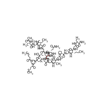 CCCC[C@H](NC(=O)CNC(=O)[C@@H]1CCCN1C(=O)CNC(=O)[C@H](C)NC(=O)CNC(=O)[C@H](CSCC(=O)N1CN(C(=O)CCSC)CN(C(=O)CCSC)C1)NC(=O)CNC(=O)[C@H](CCC(N)=O)NC(=O)CNC(=O)[C@H](CCC(=O)O)NC(=O)CNC(=O)[C@@H](NC(=O)CNC(=O)[C@H](C)NC(C)=O)[C@@H](C)CC)C(=O)NCC(=O)N[C@@H](C)C(N)=O